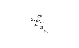 [Cl][Ru].[O-][I+3]([O-])([O-])O